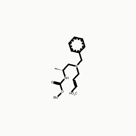 C[C@H](CN(CC=CC(=O)O)Cc1ccccc1)NC(=O)OC(C)(C)C